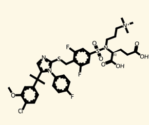 COc1cc(C(C)(C)c2cnc(SCc3c(F)cc(S(=O)(=O)N(CCC[N+](C)(C)C)[C@@H](CCC(=O)O)C(=O)O)cc3F)n2-c2ccc(F)cc2)ccc1Cl